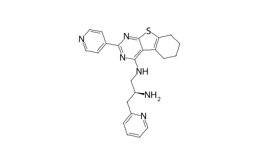 N[C@H](CNc1nc(-c2ccncc2)nc2sc3c(c12)CCCC3)Cc1ccccn1